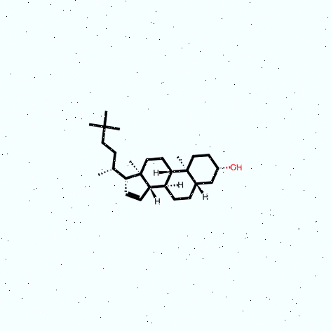 C[C@H](CCC(C)(C)C)[C@H]1C=C[C@H]2[C@@H]3CC[C@H]4C[C@@H](O)CC[C@]4(C)[C@H]3CC[C@]12C